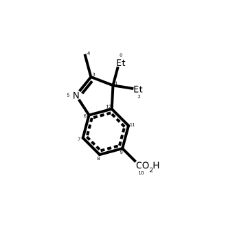 CCC1(CC)C(C)=Nc2ccc(C(=O)O)cc21